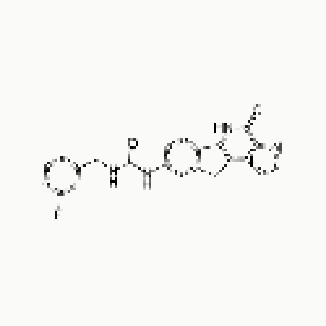 O=C(NCc1cccc(F)c1)Nc1ccc2c(c1)Cc1c-2[nH]c(=O)c2nccn12